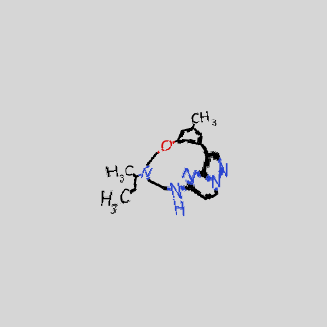 CCC(C)N1CCNc2ccn3ncc(c3n2)-c2cc(C)cc(c2)OCC1